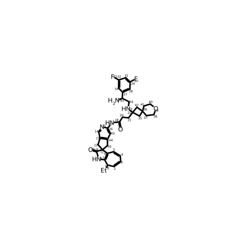 CCC1C=CC=CC2=C1NC(=O)C21Cc2cnc(NC(=O)CCC3(NCC(N)c4cc(F)cc(F)c4)CC4(CCOCC4)C3)cc2C1